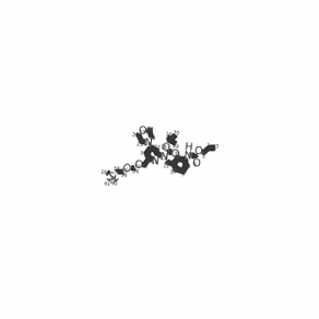 C=CCOC(=O)Nc1cccc(CN(C(=O)OC(C)(C)C)c2cc(N3CCOCC3)cc(COCOCC[Si](C)(C)C)n2)c1